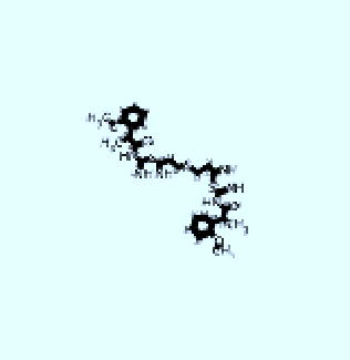 COc1ccccc1C(C)C(=O)NC(=N)SC(=N)CCSCCC(=N)SC(=N)NC(=O)C(C)c1ccccc1OC